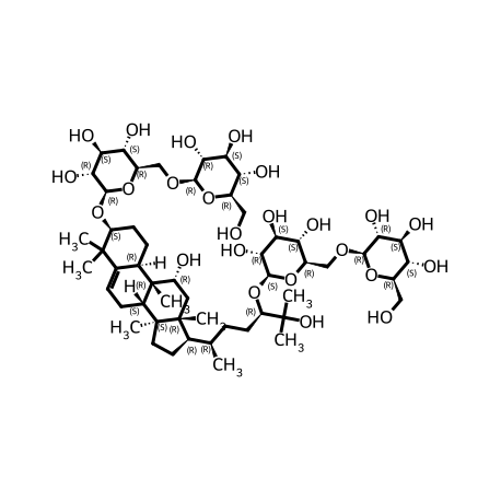 C[C@H](CC[C@@H](O[C@@H]1O[C@H](CO[C@@H]2O[C@H](CO)[C@@H](O)[C@H](O)[C@H]2O)[C@@H](O)[C@H](O)[C@H]1O)C(C)(C)O)[C@H]1CC[C@@]2(C)[C@@H]3CC=C4[C@@H](CC[C@H](O[C@@H]5O[C@H](CO[C@@H]6O[C@H](CO)[C@@H](O)[C@H](O)[C@H]6O)[C@@H](O)[C@H](O)[C@H]5O)C4(C)C)[C@]3(C)[C@H](O)C[C@]12C